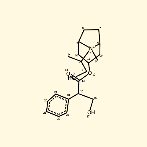 CC(CO)[N+]1(C)C2CCC1CC(OC(=O)C(CO)c1ccccc1)C2